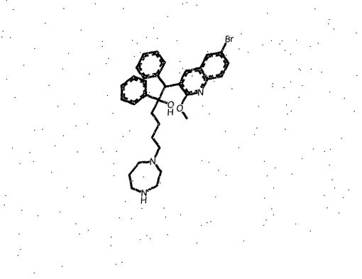 COc1nc2ccc(Br)cc2cc1C(c1ccccc1)C(O)(CCCCN1CCCNCC1)c1ccccc1